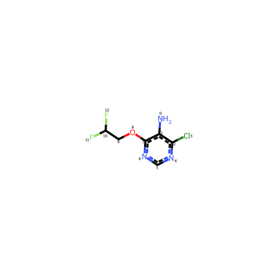 Nc1c(Cl)ncnc1OCC(F)F